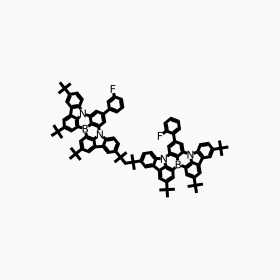 CC(C)(C)c1ccc2c(c1)c1cc(C(C)(C)C)cc3c1n2-c1cc(-c2cccc(F)c2)cc2c1B3c1cc(C(C)(C)C)cc3c4cc(C(C)(C)CC(C)(C)c5ccc6c(c5)c5cc(C(C)(C)C)cc7c5n6-c5cc(-c6ccccc6F)cc6c5B7c5cc(C(C)(C)C)cc7c8cc(C(C)(C)C)ccc8n-6c57)ccc4n-2c13